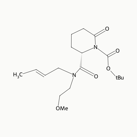 C/C=C/CN(CCOC)C(=O)[C@@H]1CCCC(=O)N1C(=O)OC(C)(C)C